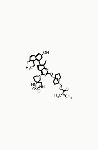 CCc1c(F)ccc2cc(O)cc(-c3ccc4c(N5CCCC6(CNS(=O)(=O)N6)C5)nc(OC[C@]56CCCN5[C@H](COC(=O)N(C)C)CC6)nc4c3F)c12